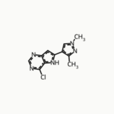 Cc1nn(C)cc1-c1cc2ncnc(Cl)c2[nH]1